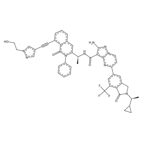 C[C@H](NC(=O)c1c(N)nn2ccc(-c3cc4c(c(C(F)(F)F)c3)C(=O)N([C@@H](C)C3CC3)C4)nc12)c1cc2cccc(C#Cc3cnn(CCO)c3)c2c(=O)n1-c1ccccc1